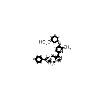 Cc1nc(-c2nnn(C)c2Cn2cnc(-c3ccccc3)n2)ccc1O[C@H]1CCC[C@H](C(=O)O)C1